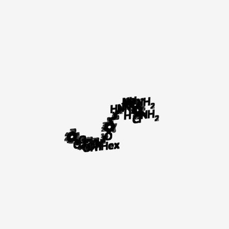 CCCCCCN(CCOc1ccc(CCCCNC(=N)NC(=O)c2cc(Cl)c(N)cc2N)cc1)C[C@H](O)C[C@@H]1OC(c2ccccc2)OC[C@H]1O